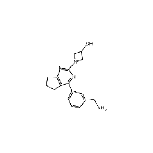 NCc1cccc(-c2nc(N3CC(O)C3)nc3c2CCC3)c1